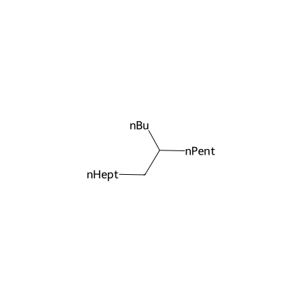 [CH2]CCCCC(CCCC)CCCCCCCC